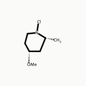 CO[C@@H]1CCN(Cl)[C@H](C)C1